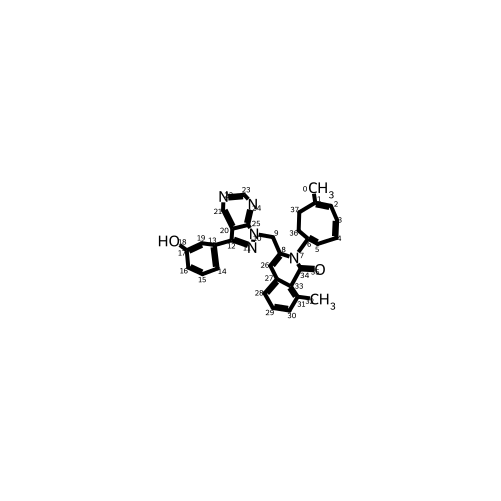 C/C1=C/C=C\C=C(\n2c(Cn3nc(-c4cccc(O)c4)c4cncnc43)cc3cccc(C)c3c2=O)CC1